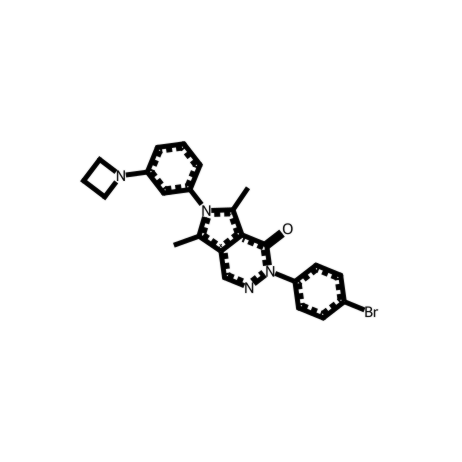 Cc1c2cnn(-c3ccc(Br)cc3)c(=O)c2c(C)n1-c1cccc(N2CCC2)c1